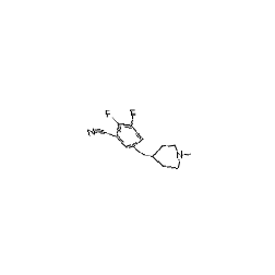 CN1CCC(Cc2cc(F)c(F)c(C#N)c2)CC1